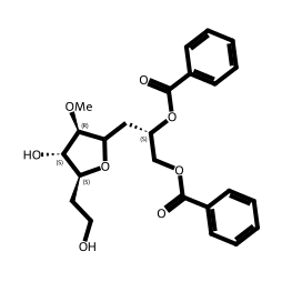 CO[C@H]1C(C[C@@H](COC(=O)c2ccccc2)OC(=O)c2ccccc2)O[C@@H](CCO)[C@@H]1O